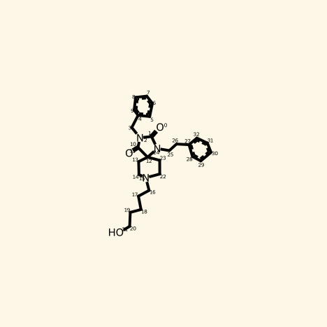 O=C1N(Cc2ccccc2)C(=O)C2(CCN(CCCCCO)CC2)N1CCc1ccccc1